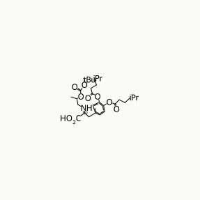 CC(C)CCC(=O)Oc1ccc(C[C@H](NCC(C)OC(=O)OC(C)(C)C)C(=O)O)cc1OC(=O)CCC(C)C